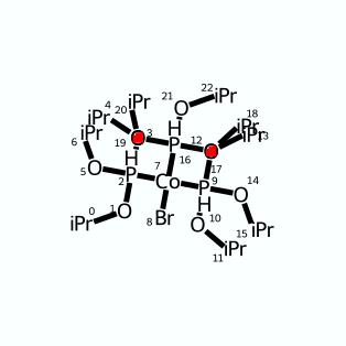 CC(C)O[PH](OC(C)C)(OC(C)C)[Co]([Br])([PH](OC(C)C)(OC(C)C)OC(C)C)[PH](OC(C)C)(OC(C)C)OC(C)C